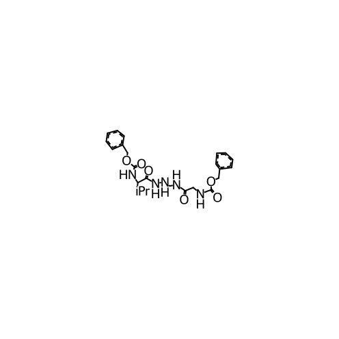 CC(C)C(NC(=O)OCc1ccccc1)C(=O)NNCNC(=O)CNC(=O)OCc1ccccc1